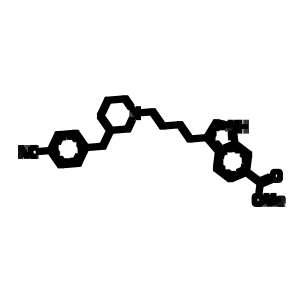 COC(=O)c1ccc2c(CCCCN3CCCC(Cc4ccc(C#N)cc4)C3)c[nH]c2c1